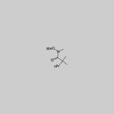 CCCC(C)(C)C(=O)N(C)OC